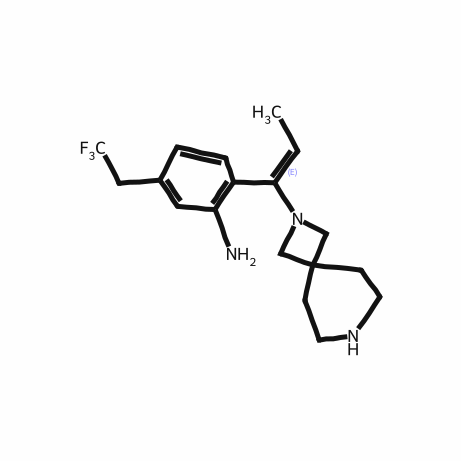 C/C=C(\c1ccc(CC(F)(F)F)cc1N)N1CC2(CCNCC2)C1